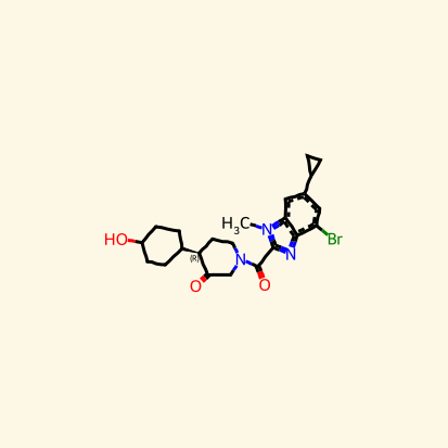 Cn1c(C(=O)N2CC[C@H](C3CCC(O)CC3)C(=O)C2)nc2c(Br)cc(C3CC3)cc21